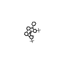 CC(C)(C)c1ccc2c(c1)N(c1ccccc1)c1cccc3c1B2n1c2ncc(C(C)(C)C)cc2c2cccc-3c21